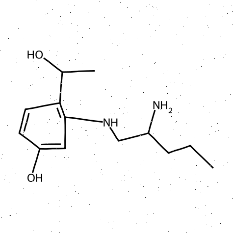 CCCC(N)CNc1cc(O)ccc1C(C)O